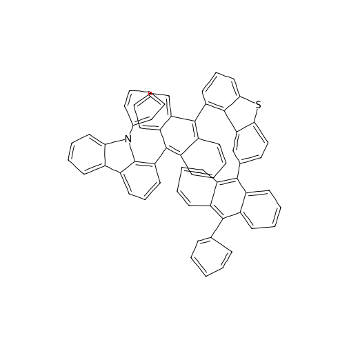 c1ccc(-c2c3ccccc3c(-c3ccc4sc5cccc(-c6c7ccccc7c(-c7cccc8c9ccccc9n(-c9ccccc9)c78)c7ccccc67)c5c4c3)c3ccccc23)cc1